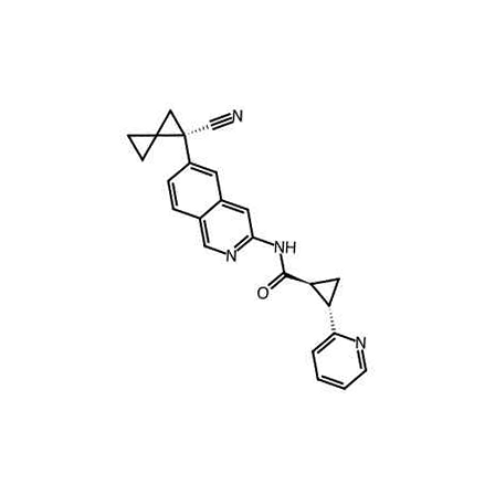 N#C[C@@]1(c2ccc3cnc(NC(=O)[C@H]4C[C@@H]4c4ccccn4)cc3c2)CC12CC2